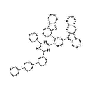 c1ccc(-c2ccc(-c3cccc(C4=NC(c5ccc(-n6c7ccccc7c7cc8ccccc8cc76)cc5-c5cccc6c5sc5ccccc56)=NC(c5ccccc5)N4)c3)cc2)cc1